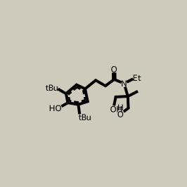 CCN(C(=O)CCc1cc(C(C)(C)C)c(O)c(C(C)(C)C)c1)C(C)(CO)CO